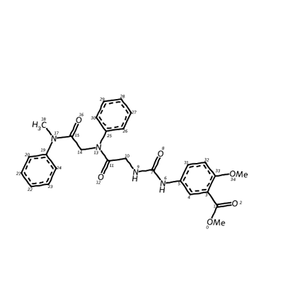 COC(=O)c1cc(NC(=O)NCC(=O)N(CC(=O)N(C)c2ccccc2)c2ccccc2)ccc1OC